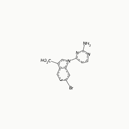 Nc1nccc(-n2cc(C(=O)O)c3ccc(Br)cc32)n1